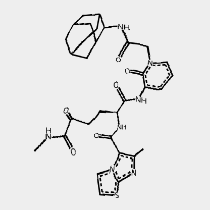 CNC(=O)C(=O)CC[C@H](NC(=O)c1c(C)nc2sccn12)C(=O)Nc1cccn(CC(=O)NC2C3CC4CC(C3)CC2C4)c1=O